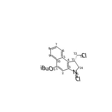 CC(C)COc1cc2c(c3ccccc13)[C@H](CCl)CN2Cl